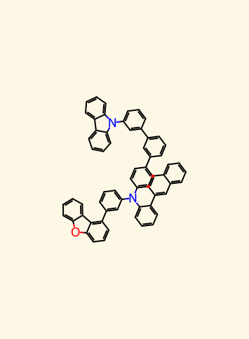 c1cc(-c2ccc(N(c3cccc(-c4cccc5oc6ccccc6c45)c3)c3ccccc3-c3ccc4ccccc4c3)cc2)cc(-c2cccc(-n3c4ccccc4c4ccccc43)c2)c1